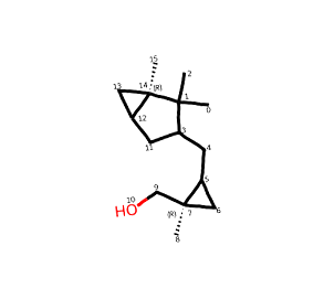 CC1(C)C(CC2C[C@@]2(C)CO)CC2C[C@]21C